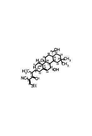 CC/C=C(/C#N)C(=O)[C@@H](C)[C@@H]1CC[C@]2(C)C(=C[C@@H](O)C3C4CC(C)(C)CC[C@]4(CO)CC[C@]32C)C1